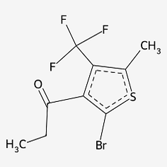 CCC(=O)c1c(Br)sc(C)c1C(F)(F)F